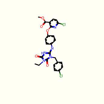 CCn1c(=O)[nH]/c(=N\c2ccc(Oc3nc(Cl)ccc3C(=O)OC)cc2)n(Cc2ccc(Cl)cc2)c1=O